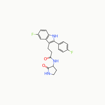 O=C(CCc1c(-c2ccc(F)cc2)[nH]c2ccc(F)cc12)NC1CCNC1=O